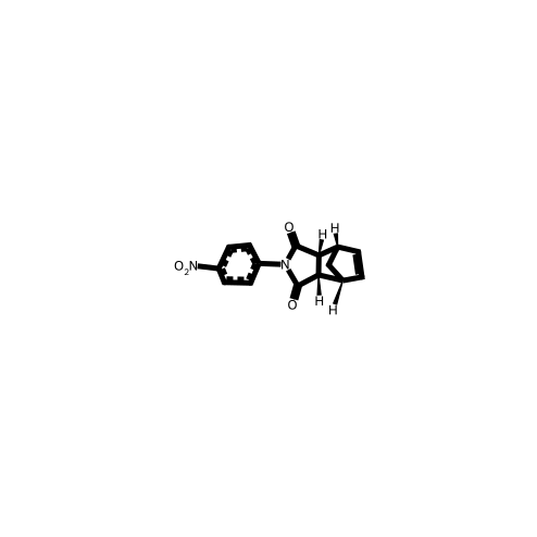 O=C1[C@@H]2[C@H](C(=O)N1c1ccc([N+](=O)[O-])cc1)[C@@H]1C=C[C@H]2C1